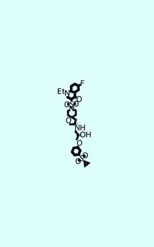 CCn1cc(S(=O)(=O)N2CCC3(CC2)C[C@@H](NC[C@H](O)COc2cccc(S(=O)(=O)C4CC4)c2)CO3)c(=O)c2cc(F)ccc21